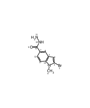 Cn1c(Br)cc2cc(C(=O)NN)ccc21